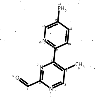 Cc1cnc(C=O)nc1-c1ccc(P)cn1